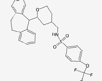 O=S(=O)(NCC1CCOC(C2c3ccccc3CCc3ccccc32)C1)c1ccc(OC(F)(F)F)cc1